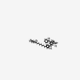 O=C(CCCCCCCc1ccc(Nc2cc(NC3CCCCC3)c3ncn(PI)c3n2)cc1)NOPI